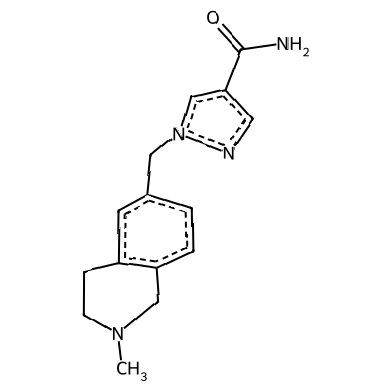 CN1CCc2cc(Cn3cc(C(N)=O)cn3)ccc2C1